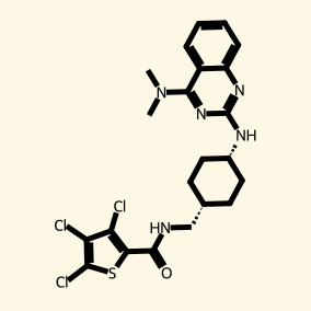 CN(C)c1nc(N[C@H]2CC[C@@H](CNC(=O)c3sc(Cl)c(Cl)c3Cl)CC2)nc2ccccc12